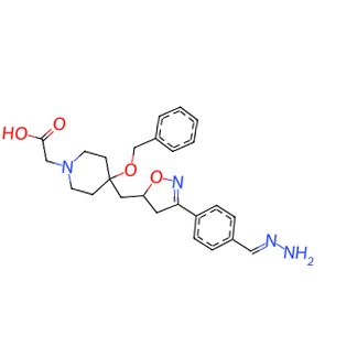 NN=Cc1ccc(C2=NOC(CC3(OCc4ccccc4)CCN(CC(=O)O)CC3)C2)cc1